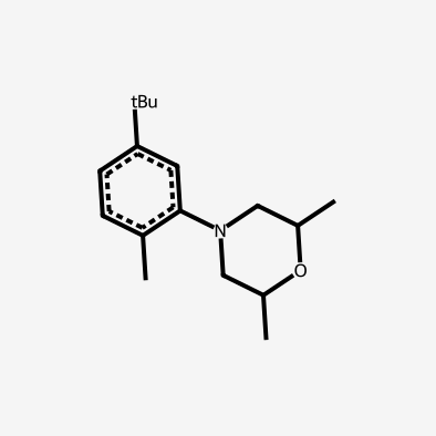 Cc1ccc(C(C)(C)C)cc1N1CC(C)OC(C)C1